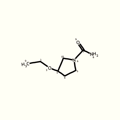 CCOC1[CH]CN(C(N)=O)C1